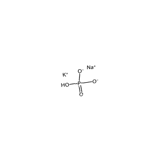 O=P([O-])([O-])O.[K+].[Na+]